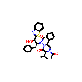 CC(=O)N1C=C(c2ccccc2)N(N(C(C)=O)[C@@H](Cc2ccccc2)C(O)c2nc3ccccc3s2)C(=O)C1C(C)C